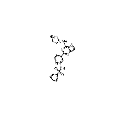 O=S(=O)(Nc1cc(-c2nc(N[C@@H]3CCNC3)c3sccc3n2)ccn1)c1ccccc1